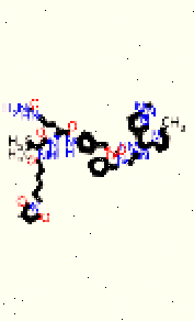 Cc1cccc(-c2nc(CN(CC3CCCCC3)C(=O)OCc3ccc(NC(=O)[C@H](CCCNC(N)=O)NC(=O)C(NC(=O)CCCCCN4C(=O)C=CC4=O)C(C)C)cc3)[nH]c2-c2ccc3ncnn3c2)n1